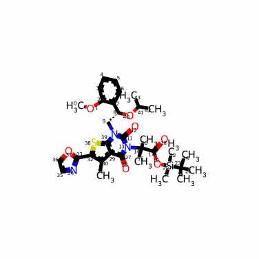 COc1ccccc1[C@@H](Cn1c(=O)n(C(C)(C)C(=O)O[Si](C)(C)C(C)(C)C)c(=O)c2c(C)c(-c3ncco3)sc21)OC(C)C